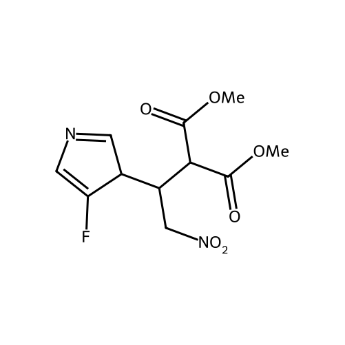 COC(=O)C(C(=O)OC)C(C[N+](=O)[O-])C1C=NC=C1F